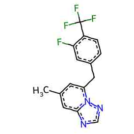 Cc1cc(Cc2ccc(C(F)(F)F)c(F)c2)n2ncnc2c1